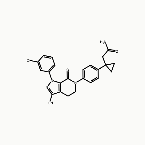 N#Cc1nn(-c2cccc(Cl)c2)c2c1CCN(c1ccc(C3(CC(N)=O)CC3)cc1)C2=O